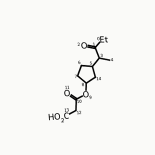 CCC(=O)C(C)C1CCC(OC(=O)CC(=O)O)C1